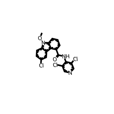 COn1c2ccc(Cl)cc2c2c(C(=O)Nc3c(Cl)cncc3Cl)cccc21